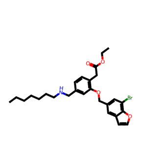 CCCCCCCNCc1ccc(CC(=O)OCC)c(OCc2cc(Br)c3occc3c2)c1